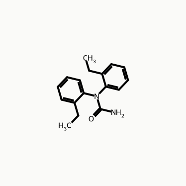 CCc1ccccc1N(C(N)=O)c1ccccc1CC